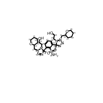 NS(=O)(=O)c1c(C2(F)N=NN(CC3CCCCO3)N2CCO)cccc1C1(F)N=NN(CC2CCCCO2)N1CCO